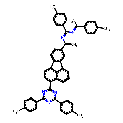 C=C(/N=C(\N=C(/C)c1ccc(C)cc1)c1ccc(C)cc1)c1ccc2c(c1)-c1cccc3c(-c4nc(-c5ccc(C)cc5)nc(-c5ccc(C)cc5)n4)ccc-2c13